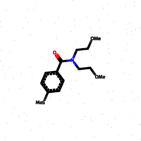 COCCN(CCOC)C(=O)c1ccc(SC)cc1